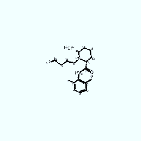 Cc1cccc(C)c1NC(=O)[C@@H]1CCCCN1CCCCF.Cl